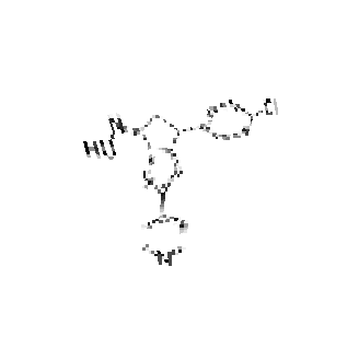 O/N=C1/CC(c2ccc(Cl)cc2)c2cc(-c3ccncc3)sc21